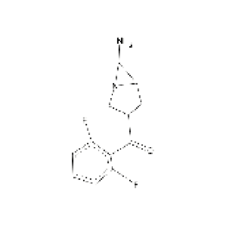 NC1C2CC(C(=O)c3c(F)cccc3F)CN12